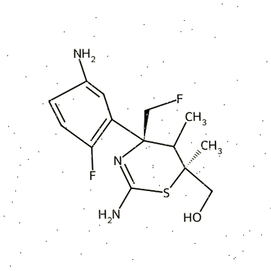 CC1[C@@](C)(CO)SC(N)=N[C@]1(CF)c1cc(N)ccc1F